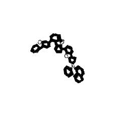 c1ccc(N(c2ccc3c(c2)oc2c(-c4cccc5c4oc4cccc(-c6ccc7c(c6)oc6ccccc67)c45)cccc23)c2cccc3ccccc23)cc1